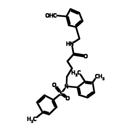 Cc1ccc(S(=O)(=O)N(CCCC(=O)NCc2cccc(C=O)c2)c2cccc(C)c2C)cc1